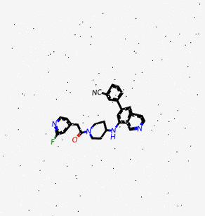 N#Cc1cccc(-c2cc(NC3CCN(C(=O)Cc4ccnc(F)c4)CC3)c3cnccc3c2)c1